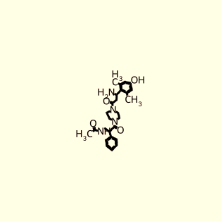 CC(=O)NCC(C(=O)N1CCN(C(=O)CC(N)c2c(C)cc(O)cc2C)CC1)c1ccccc1